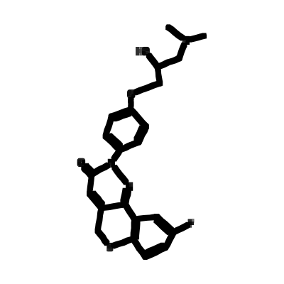 CN(C)CC(O)COc1ccc(-n2nc3c(cc2=O)CSc2ccc(F)cc2-3)cc1